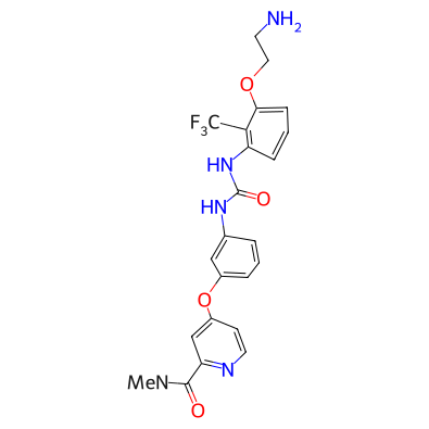 CNC(=O)c1cc(Oc2cccc(NC(=O)Nc3cccc(OCCN)c3C(F)(F)F)c2)ccn1